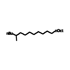 [CH2]CCCCCCCCCCCCCCCC(C)CCCC